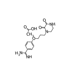 CC(=O)O.N=C(N)c1ccc(OCCCN2CCNC(=O)C2=O)cc1